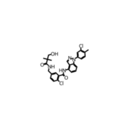 Cc1ccc(-n2ncc3c(NC(=O)c4cc(CNC(=O)C(C)(C)CO)ccc4Cl)cccc32)cc1Cl